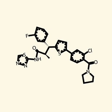 C[C@@H](C(=O)Nc1nncs1)[C@H](c1cccc(F)c1)c1ccc(-c2ccc(C(=O)N3CCCC3)c(Cl)c2)s1